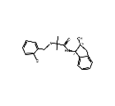 CC(C)(SCc1ccccc1Cl)C(=O)N[C@@H]1c2ccccc2C[C@@H]1O